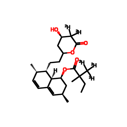 [2H]C1([2H])C(=O)OC(CC[C@@H]2[C@@H]3C(=C[C@H](C)C[C@@H]3OC(=O)C(C)(CC)C([2H])([2H])[2H])C=C[C@@H]2C)C[C@H]1O